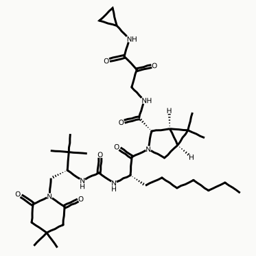 CCCCCCC[C@H](NC(=O)N[C@H](CN1C(=O)CC(C)(C)CC1=O)C(C)(C)C)C(=O)N1C[C@H]2[C@@H]([C@H]1C(=O)NCC(=O)C(=O)NC1CC1)C2(C)C